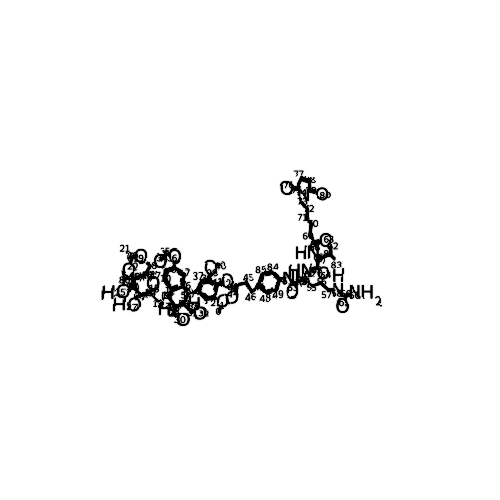 COc1cc([C@@H]2c3cc4c(cc3[C@@H](C[C@@H]3O[C@]5(C)CO[C@@H](C)O[C@H]5[C@H](O)[C@H]3O)[C@H]3COC(=O)[C@H]23)OCO4)cc(OC)c1OC(=O)CCc1ccc(NC(=O)[C@H](CCCNC(N)=O)NC(=O)[C@@H](NC(=O)CCCCCN2C(=O)C=CC2=O)C(C)C)cc1